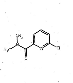 CN(C)C(=O)c1cccc(Cl)n1